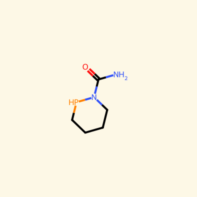 NC(=O)N1CCCCP1